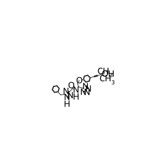 CC(C)(O)C#Cc1ccc2c(c1)-n1nnnc1[C@@H](NC(=O)c1n[nH]c(Cc3ccccc3)n1)CO2